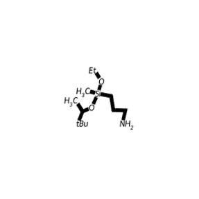 CCO[Si](C)(CCCN)OC(C)C(C)(C)C